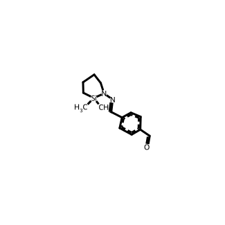 C[Si]1(C)CCCCN1N=Cc1ccc(C=O)cc1